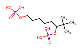 CC(C)(C)C(CCCCCOP(=O)(O)O)OP(=O)(O)O